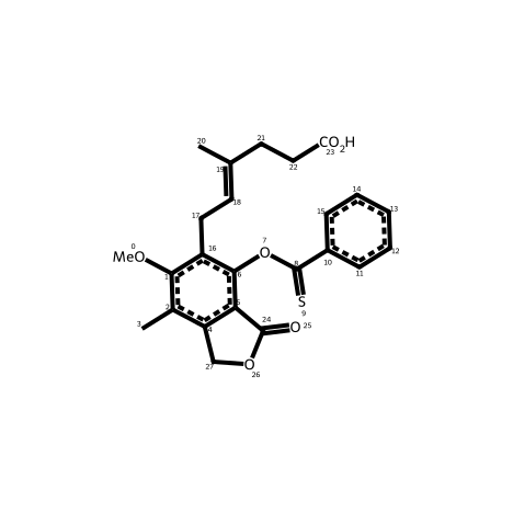 COc1c(C)c2c(c(OC(=S)c3ccccc3)c1C/C=C(\C)CCC(=O)O)C(=O)OC2